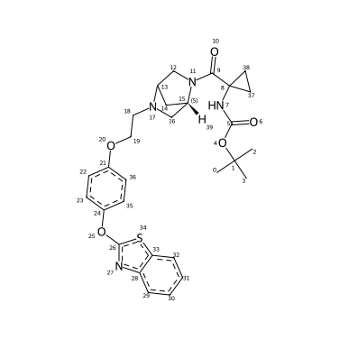 CC(C)(C)OC(=O)NC1(C(=O)N2CC3C[C@H]2CN3CCOc2ccc(Oc3nc4ccccc4s3)cc2)CC1